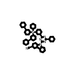 N#Cc1ccc2c(c1)c1ccccc1n2-c1nc(-c2ccccc2)nc(-c2cccc([Si](c3ccccc3)(c3cccc(-c4ccccc4)c3)c3cccc(-c4ccccc4)c3)c2)n1